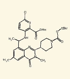 COC(=O)c1nc(Cl)ccc1NC(C)c1cc(C)cc2c(=O)n(C)c(C3CCN(C(=O)OC(C)(C)C)CC3)nc12